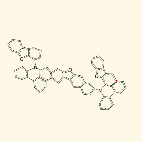 c1ccc(-c2ccccc2N(c2ccc3cc4c(cc3c2)oc2cc3cc(N(c5ccccc5-c5ccccc5)c5cccc6c5oc5ccccc56)ccc3cc24)c2cccc3c2oc2ccccc23)cc1